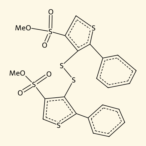 COS(=O)(=O)c1csc(-c2ccccc2)c1SSc1c(S(=O)(=O)OC)csc1-c1ccccc1